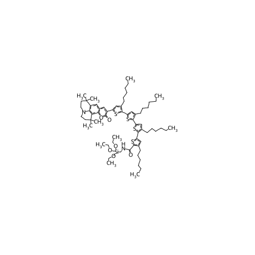 CCCCCCc1cc(-c2sc(-c3sc(-c4sc(-c5cc6cc7c8c(c6oc5=O)C(C)(C)CCN8CCC7(C)C)cc4CCCCCC)cc3CCCCCC)cc2CCCCCC)sc1C(=O)NC[Si](OCC)(OCC)OCC